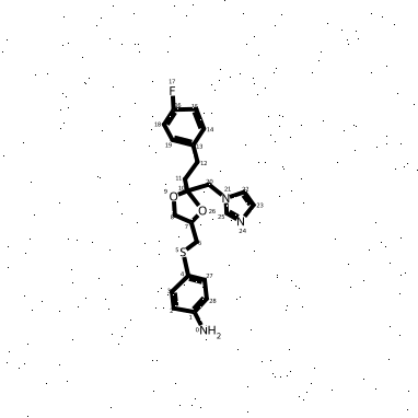 Nc1ccc(SCC2COC(CCc3ccc(F)cc3)(Cn3ccnc3)O2)cc1